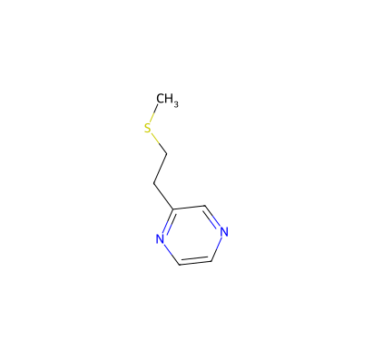 CSCCc1cnccn1